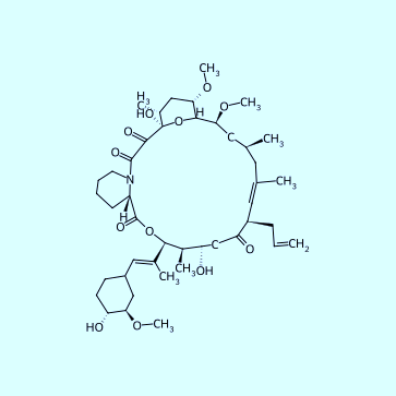 C=CC[C@@H]1/C=C(\C)C[C@H](C)C[C@H](OC)[C@H]2O[C@@](O)(C(=O)C(=O)N3CCCC[C@H]3C(=O)O[C@H](/C(C)=C/C3CC[C@@H](O)[C@H](OC)C3)[C@H](C)[C@@H](O)CC1=O)[C@H](C)C[C@@H]2OC